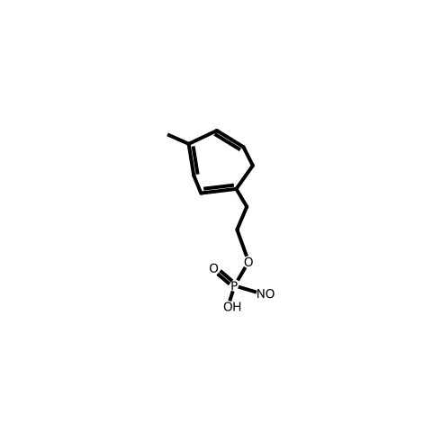 CC1=CC=C(CCOP(=O)(O)N=O)CC=C1